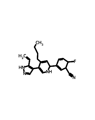 C=Cc1[nH]ncc1C1=CNC(C2=CC(C#N)C(F)C=C2)C=C1CCCC